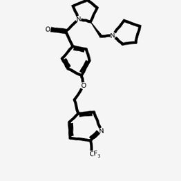 O=C(c1ccc(OCc2ccc(C(F)(F)F)nc2)cc1)N1CCC[C@H]1CN1CCCC1